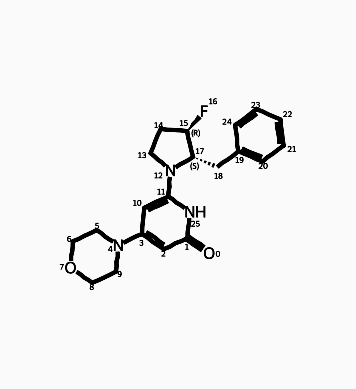 O=c1cc(N2CCOCC2)cc(N2CC[C@@H](F)[C@@H]2Cc2ccccc2)[nH]1